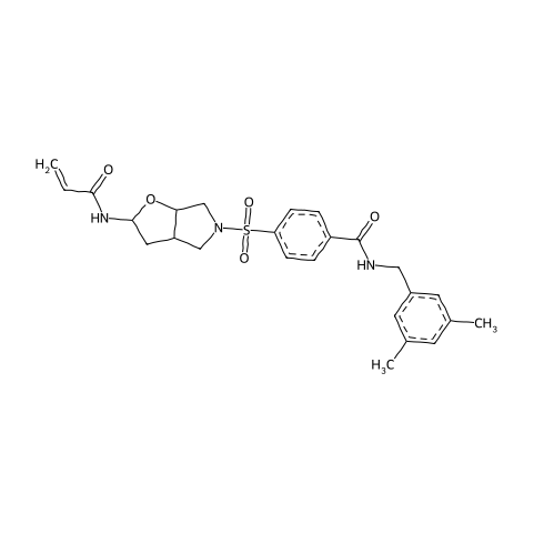 C=CC(=O)NC1CC2CN(S(=O)(=O)c3ccc(C(=O)NCc4cc(C)cc(C)c4)cc3)CC2O1